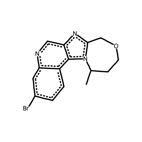 CC1CCOCc2nc3cnc4cc(Br)ccc4c3n21